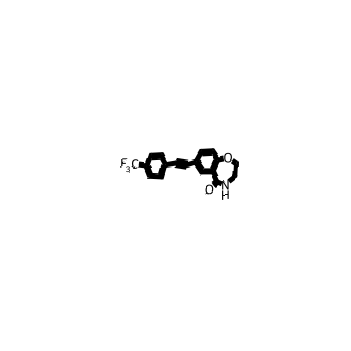 O=C1NCCOc2ccc(C#Cc3ccc(C(F)(F)F)cc3)cc21